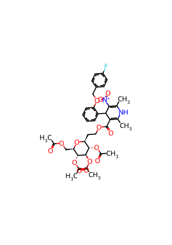 CC(=O)OC[C@H]1O[C@@H](CCOC(=O)C2=C(C)NC(C)=C([N+](=O)[O-])C2c2ccccc2OCc2ccc(F)cc2)[C@H](OC(C)=O)[C@@H](OC(C)=O)[C@@H]1OC(C)=O